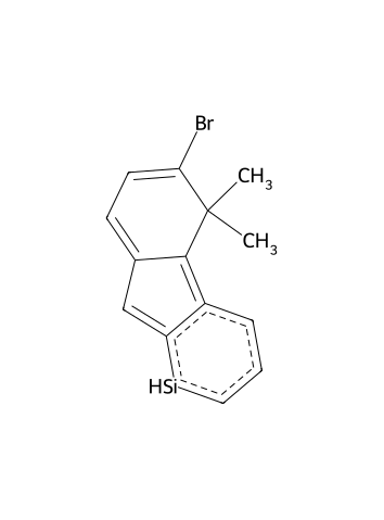 CC1(C)C(Br)=CC=C2C=c3[siH]cccc3=C21